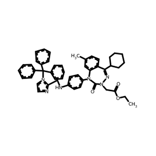 CCOC(=O)CN1N=C(C2CCCCC2)c2ccc(C)cc2N(c2ccc(NCc3nccn3C(c3ccccc3)(c3ccccc3)c3ccccc3)cc2)C1=O